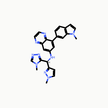 Cn1ccc([C@H](Nc2cc(-c3ccc4ccn(C)c4c3)c3nccnc3c2)c2nncn2C)n1